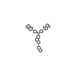 c1ccc2cc(-c3ccc4c(ccc5cc(N(c6ccc(-c7ccc8ncccc8n7)cc6)c6ccc(-c7ccc8ncccc8n7)cc6)ccc54)c3)ccc2c1